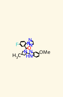 COc1ccc2[nH]c(C3CC(C)CN3C(=O)c3cc(F)ccc3-n3nccn3)nc2c1